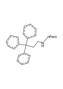 CCCCCNCCC(c1ccccc1)(c1ccccc1)c1ccccc1